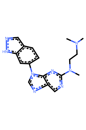 CN(C)CCN(C)c1ncc2ncn(-c3ccc4cn[nH]c4c3)c2n1